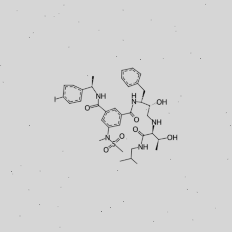 CC(C)CNC(=O)[C@@H](NC[C@@H](O)[C@H](Cc1ccccc1)NC(=O)c1cc(C(=O)N[C@H](C)c2ccc(I)cc2)cc(N(C)S(C)(=O)=O)c1)[C@H](C)O